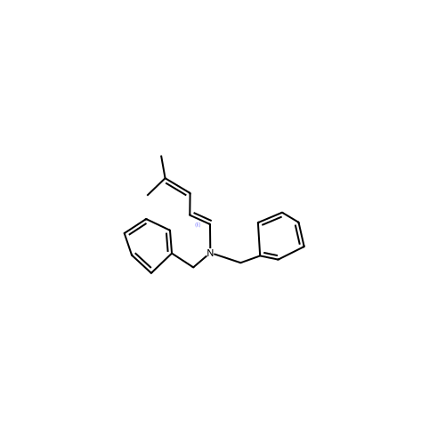 CC(C)=C/C=C/N(Cc1ccccc1)Cc1ccccc1